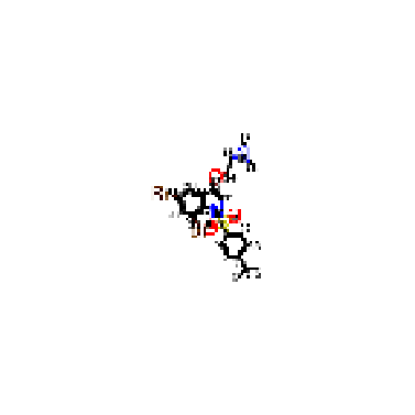 CC(C)c1ccc(S(=O)(=O)n2cc(OCCN(C)C)c3cc(Br)cc(Br)c32)cc1